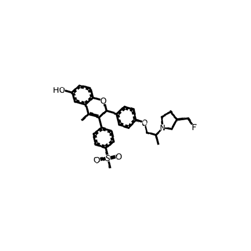 CC1=C(c2ccc(S(C)(=O)=O)cc2)C(c2ccc(OCC(C)N3CCC(CF)C3)cc2)Oc2ccc(O)cc21